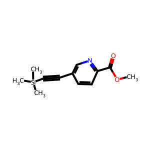 COC(=O)c1ccc(C#C[Si](C)(C)C)cn1